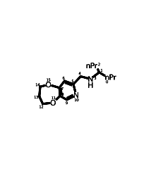 CCCC(CCC)NCc1cc2c(cn1)OCCCO2